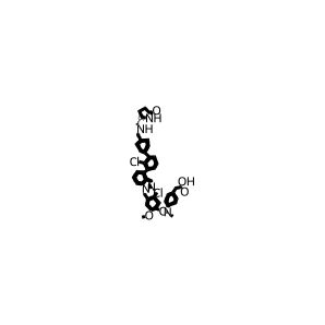 COc1cc(Cn2ncc3c(-c4cccc(-c5ccc(CNC[C@@H]6CCC(=O)N6)cc5)c4Cl)cccc32)c(Cl)cc1CN(C)c1ccc(CC(=O)O)cc1